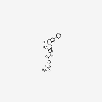 Cc1cc(NC(=O)C2CN(OS(C)(=O)=O)C2)nn1Cc1cc(Cl)cc2cc(-c3ccccc3)oc12